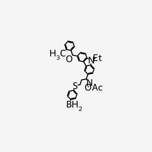 Bc1ccc(SCC/C(=N\OC(C)=O)c2ccc3c(c2)c2cc(C(=O)c4ccccc4C)ccc2n3CC)cc1